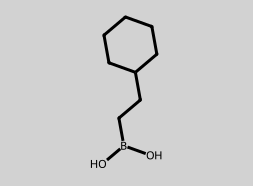 OB(O)CCC1CCCCC1